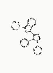 c1ccc(-c2sc(-c3cnn(-c4ccccc4)c3-c3ccccc3)c3ccccc23)cc1